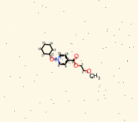 COCCOC(=O)c1cc[n+](OC2CCCCC2)cc1